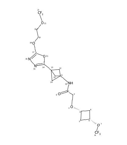 O=C(CO[C@H]1C[C@@H](OC(F)(F)F)C1)NC12CC(c3nnc(OCCOC(F)(F)F)o3)(C1)C2